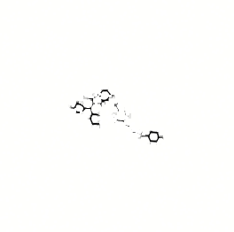 C[C@H](Oc1c(F)cccc1N[C@H](C(N)=O)C(c1ccc(F)cc1)c1ccc(F)cc1)[C@@H]1CN[C@H](COC(=O)NCc2ccc(F)cc2)CO1